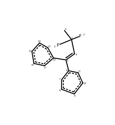 CC(F)(F)C=C(c1ccccc1)c1ccccc1